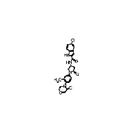 Cc1cc(N2C[C@H](NC(=O)c3cc4cc(Cl)ccc4[nH]3)CC2=O)ccc1N1CCOCC1=O